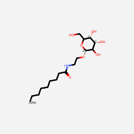 CCCCCCCCCCCCCCCCCC(=O)NCCO[C@@H]1OC(CO)[C@H](O)[C@H](O)C1O